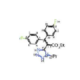 CCOC(=O)C(=C(c1ccc(F)cc1)c1ccc(F)cc1)c1nnnn1C(C)C